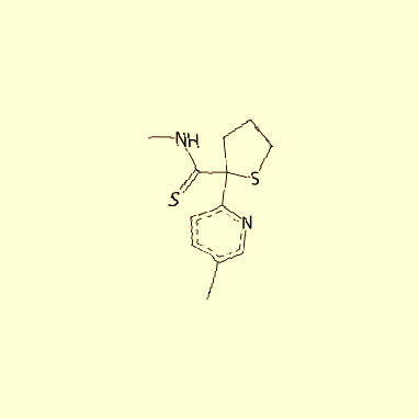 CNC(=S)C1(c2ccc(C)cn2)CCCS1